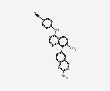 Cc1ccc2c(Nc3ccc(C#N)cc3)ncnc2c1-c1ccc2nc(N)ncc2c1